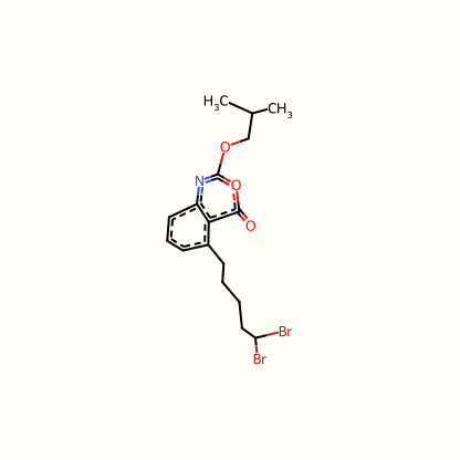 CC(C)COc1nc2cccc(CCCCC(Br)Br)c2c(=O)o1